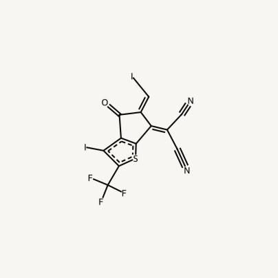 N#CC(C#N)=C1/C(=C/I)C(=O)c2c1sc(C(F)(F)F)c2I